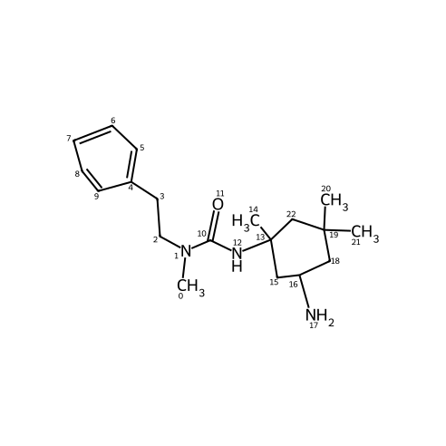 CN(CCc1ccccc1)C(=O)NC1(C)CC(N)CC(C)(C)C1